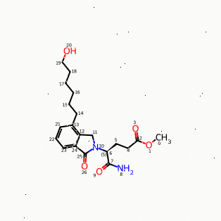 COC(=O)CC[C@@H](C(N)=O)N1Cc2c(CCCCCCO)cccc2C1=O